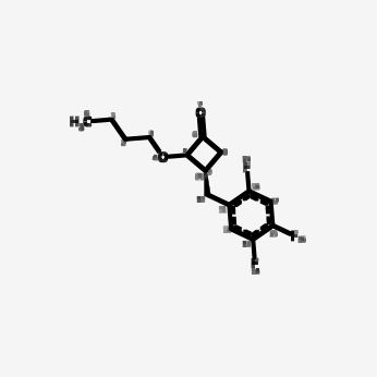 CCCCOC1C(=O)C[C@H]1Cc1cc(F)c(F)cc1F